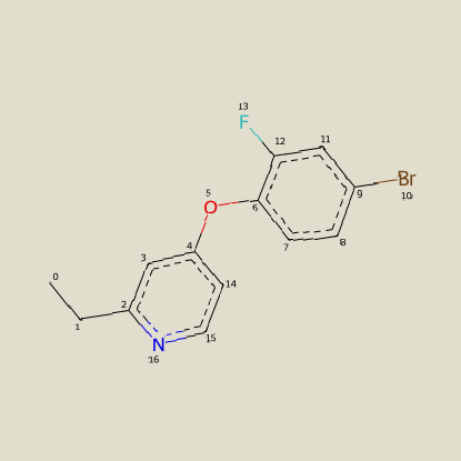 CCc1cc(Oc2ccc(Br)cc2F)ccn1